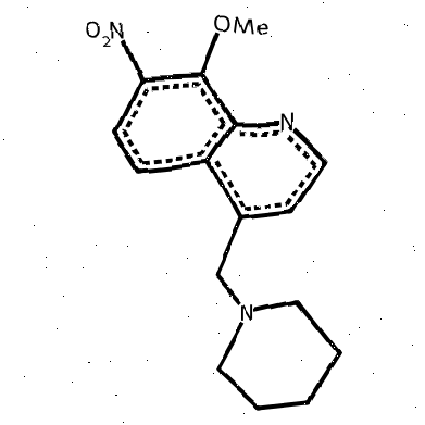 COc1c([N+](=O)[O-])ccc2c(CN3CCCCC3)ccnc12